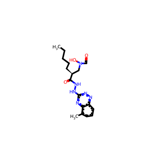 CCCCC[C@@H](CN(O)C=O)C(=O)NNc1nnc2cccc(C)c2n1